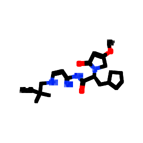 COC(C)(C)CN/C=C\C(=N)NC(=O)[C@H](CC1CCCC1)N1CC(OC(C)C)=CC1=O